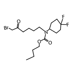 CCCCOC(=O)N(CCCCC(=O)CBr)C1CCC(F)(F)CC1